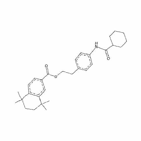 CC1(C)CCC(C)(C)c2cc(C(=O)OCCc3ccc(NC(=O)C4CCCCC4)cc3)ccc21